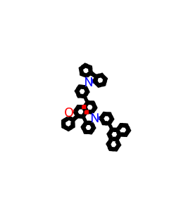 c1cc(-c2cc3ccccc3c3ccccc23)cc(N(c2ccc(-c3cccc(-n4c5ccccc5c5ccccc54)c3)cc2)c2ccccc2-c2cccc3oc4ccccc4c23)c1